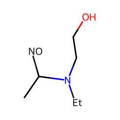 CCN(CCO)C(C)N=O